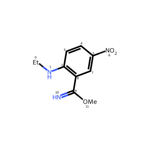 CCNc1ccc([N+](=O)[O-])cc1C(=N)OC